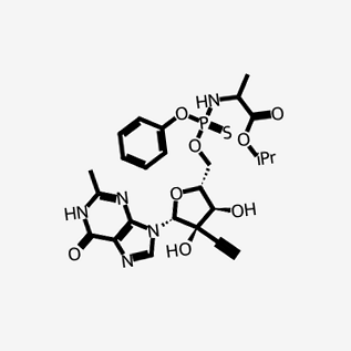 C#C[C@@]1(O)[C@H](O)[C@@H](COP(=S)(NC(C)C(=O)OC(C)C)Oc2ccccc2)O[C@H]1n1cnc2c(=O)[nH]c(C)nc21